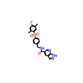 Cc1cc(S(=O)(=O)c2ccc(CNC(=O)c3cnc4[nH]ncc4c3)cc2)c(C)cc1F